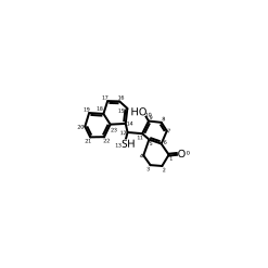 O=C1CCCc2c1ccc(O)c2C(S)c1cccc2ccccc12